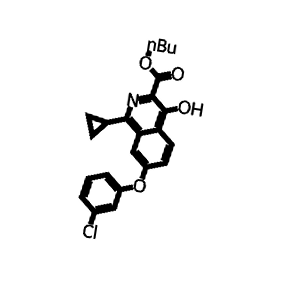 CCCCOC(=O)c1nc(C2CC2)c2cc(Oc3cccc(Cl)c3)ccc2c1O